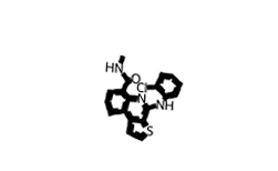 CNC(=O)c1cccc2c1nc(Nc1ccccc1Cl)c1sccc12